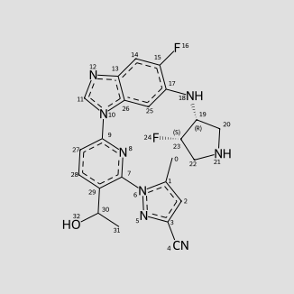 Cc1cc(C#N)nn1-c1nc(-n2cnc3cc(F)c(N[C@@H]4CNC[C@@H]4F)cc32)ccc1C(C)O